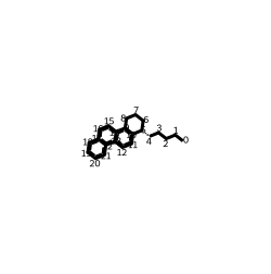 CCCCC[C@H]1CCCc2c1ccc1c2ccc2ccccc21